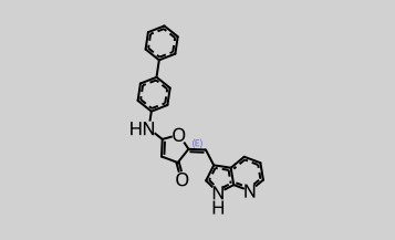 O=C1C=C(Nc2ccc(-c3ccccc3)cc2)O/C1=C/c1c[nH]c2ncccc12